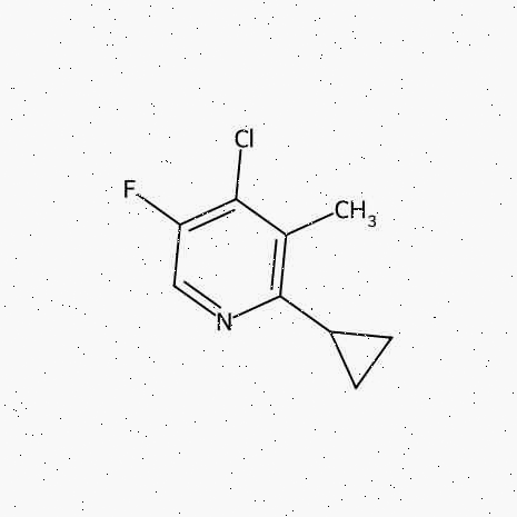 Cc1c(C2CC2)ncc(F)c1Cl